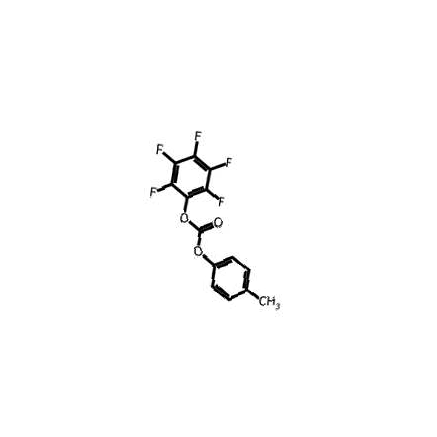 Cc1ccc(OC(=O)Oc2c(F)c(F)c(F)c(F)c2F)cc1